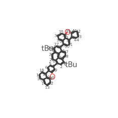 CC(C)(C)c1cc(-c2ccc3c(c2)Oc2cccc4cccc-3c24)c2ccc3c(C(C)(C)C)cc(-c4ccc5c6c(cccc46)Oc4ccccc4-5)c4ccc1c2c43